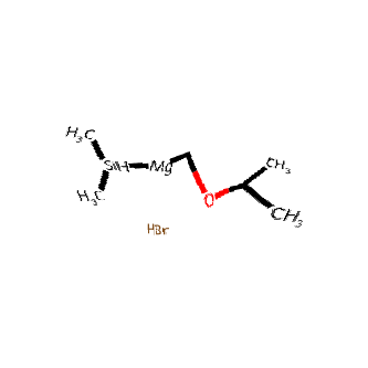 Br.CC(C)O[CH2][Mg][SiH](C)C